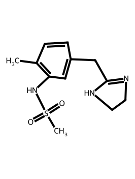 Cc1ccc(CC2=NCCN2)cc1NS(C)(=O)=O